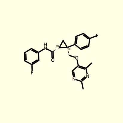 Cc1ncc(OC[C@@]2(c3ccc(F)cc3)C[C@H]2C(=O)Nc2cccc(F)c2)c(C)n1